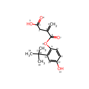 C=C(CC(=O)O)C(=O)Oc1ccc(O)cc1C(C)(C)C